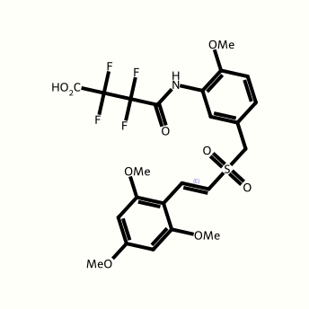 COc1cc(OC)c(/C=C/S(=O)(=O)Cc2ccc(OC)c(NC(=O)C(F)(F)C(F)(F)C(=O)O)c2)c(OC)c1